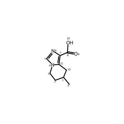 CC1CCn2cnc(C(=O)O)c2C1